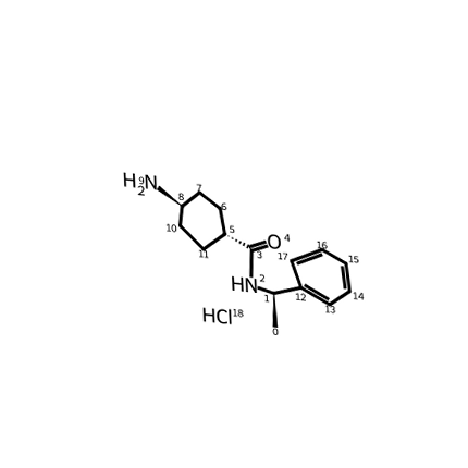 C[C@@H](NC(=O)[C@H]1CC[C@H](N)CC1)c1ccccc1.Cl